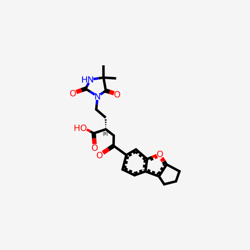 CC1(C)NC(=O)N(CC[C@H](CC(=O)c2ccc3c4c(oc3c2)CCC4)C(=O)O)C1=O